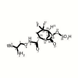 CC(C)(C)C(N)CONC(=O)[C@@H]1CC(F)(F)[C@@H]2CN1C(=O)N2OS(=O)(=O)O